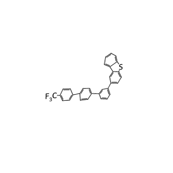 FC(F)(F)c1ccc(-c2ccc(-c3cccc(-c4ccc5sc6ccccc6c5c4)c3)cc2)cc1